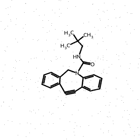 CC(C)(C)CNC(=O)N1Cc2ccccc2C#Cc2ccccc21